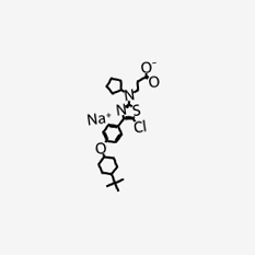 CC(C)(C)C1CCC(Oc2ccc(-c3nc(N(CCC(=O)[O-])C4CCCC4)sc3Cl)cc2)CC1.[Na+]